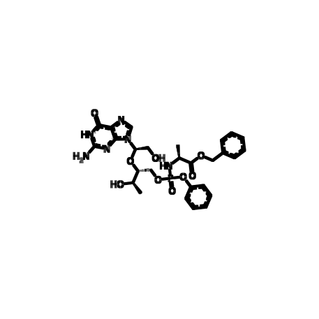 C[C@H](NP(=O)(OC[C@@H](O[C@H](CO)n1cnc2c(=O)[nH]c(N)nc21)[C@@H](C)O)Oc1ccccc1)C(=O)OCc1ccccc1